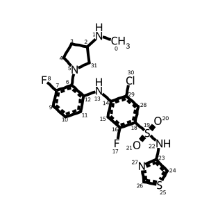 CNC1CCN(c2c(F)cccc2Nc2cc(F)c(S(=O)(=O)Nc3cscn3)cc2Cl)C1